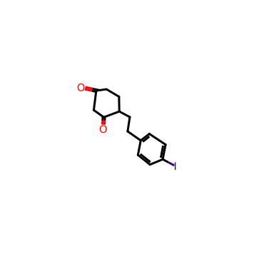 O=C1CCC(CCc2ccc(I)cc2)C(=O)C1